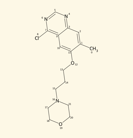 Cc1cc2ncnc(Cl)c2cc1OCCCN1CCOCC1